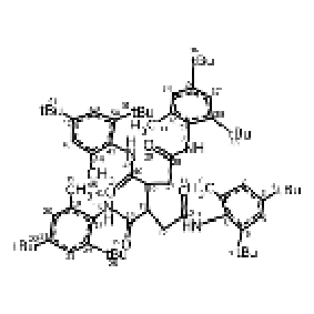 Cc1cc(C(C)(C)C)cc(C(C)(C)C)c1NC(=O)CC(C(=O)Nc1c(C)cc(C(C)(C)C)cc1C(C)(C)C)C(CC(=O)Nc1c(C)cc(C(C)(C)C)cc1C(C)(C)C)C(=O)Nc1c(C)cc(C(C)(C)C)cc1C(C)(C)C